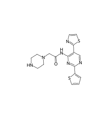 O=C(CN1CCNCC1)Nc1nc(-c2cccs2)ncc1-c1nccs1